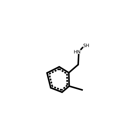 Cc1ccccc1CNS